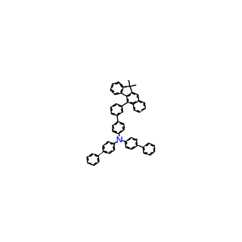 CC1(C)c2ccccc2-c2c1cc1ccccc1c2-c1cccc(-c2ccc(N(c3ccc(-c4ccccc4)cc3)c3ccc(-c4ccccc4)cc3)cc2)c1